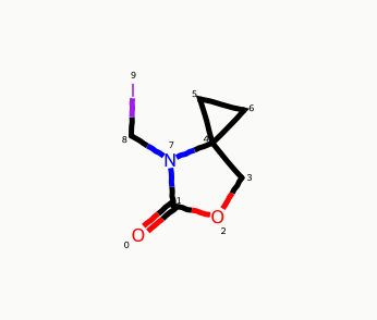 O=C1OCC2(CC2)N1CI